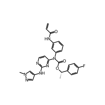 C=CC(=O)Nc1cccc(N(C(=O)O[C@@H](C)c2ccc(F)cc2)c2ccnc(Nc3cnn(C)c3)n2)c1